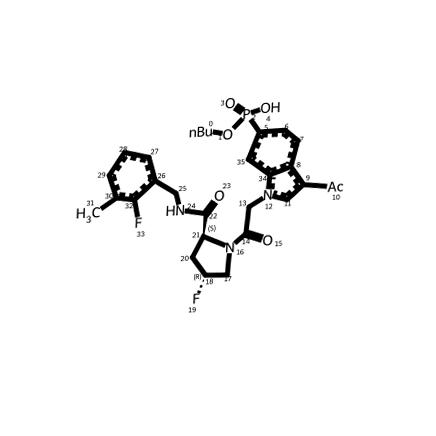 CCCCOP(=O)(O)c1ccc2c(C(C)=O)cn(CC(=O)N3C[C@H](F)C[C@H]3C(=O)NCc3cccc(C)c3F)c2c1